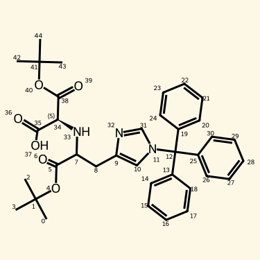 CC(C)(C)OC(=O)C(Cc1cn(C(c2ccccc2)(c2ccccc2)c2ccccc2)cn1)N[C@@H](C(=O)O)C(=O)OC(C)(C)C